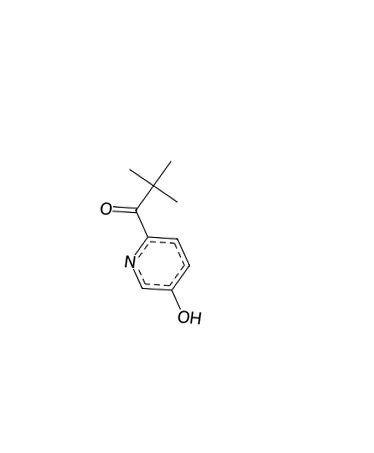 CC(C)(C)C(=O)c1ccc(O)cn1